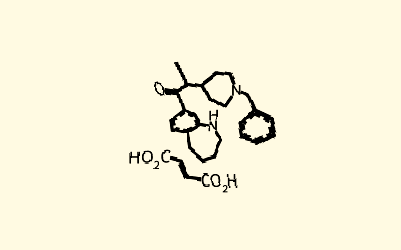 CC(C(=O)c1ccc2c(c1)NCCCC2)C1CCN(Cc2ccccc2)CC1.O=C(O)C=CC(=O)O